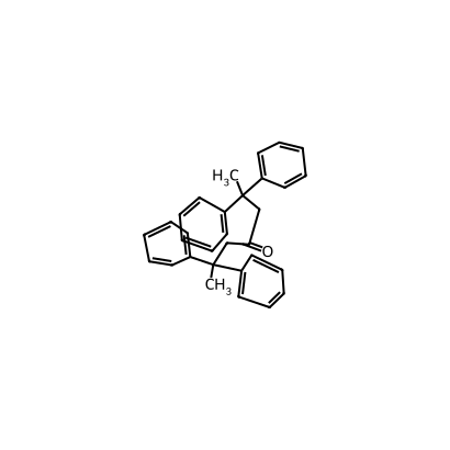 CC(CC(=O)CC(C)(c1ccccc1)c1ccccc1)(c1ccccc1)c1ccccc1